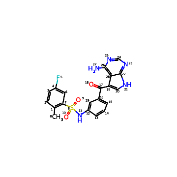 Cc1ccc(F)cc1S(=O)(=O)Nc1cccc(C(=O)c2c[nH]c3ncnc(N)c23)c1